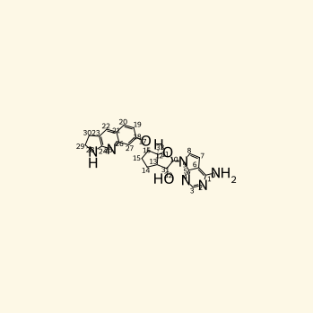 Nc1ncnc2c1ccn2[C@@H]1O[C@H]2C(CC[C@@H]2Oc2ccc3cc4c(nc3c2)NCC4)[C@H]1O